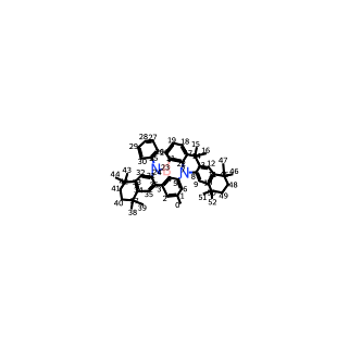 Cc1cc2c3c(c1)N1c4cc5c(cc4C(C)(C)c4cccc(c41)B3N(c1ccccc1)c1cc3c(cc1-2)C(C)(C)CCC3(C)C)C(C)(C)CCC5(C)C